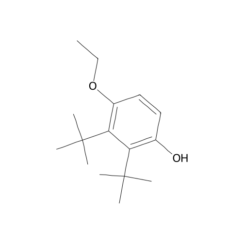 CCOc1ccc(O)c(C(C)(C)C)c1C(C)(C)C